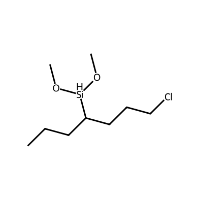 CCCC(CCCCl)[SiH](OC)OC